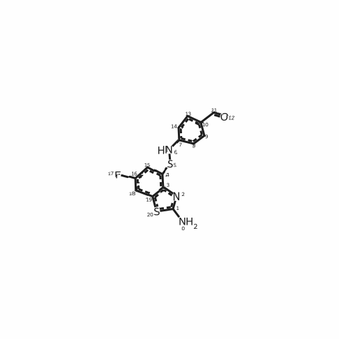 Nc1nc2c(SNc3ccc(C=O)cc3)cc(F)cc2s1